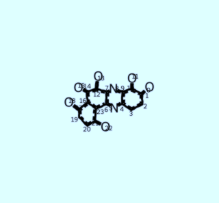 O=c1ccc2nc3c(nc2c1=O)c(=O)c(=O)c1c(=O)ccc(=O)c13